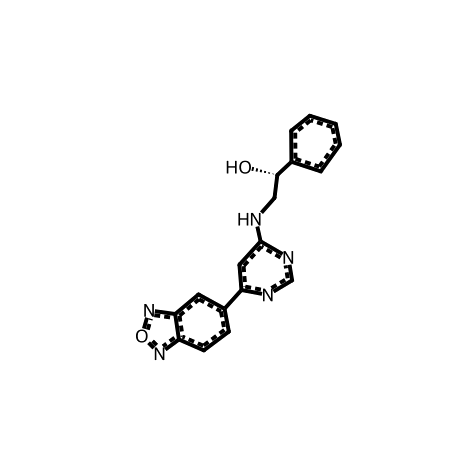 O[C@@H](CNc1cc(-c2ccc3nonc3c2)ncn1)c1ccccc1